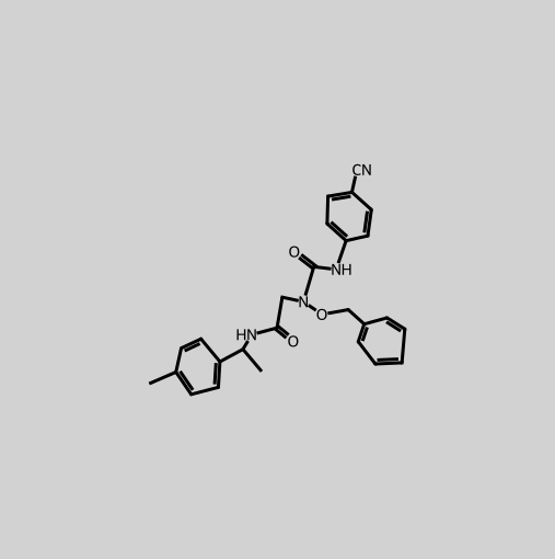 Cc1ccc(C(C)NC(=O)CN(OCc2ccccc2)C(=O)Nc2ccc(C#N)cc2)cc1